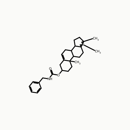 CC1C2CCC3C4CC=C5CC(OC(=O)NCc6ccccc6)CCC5(C)C4CCC32CN1C